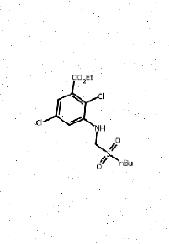 CCCCS(=O)(=O)CNc1cc(Cl)cc(C(=O)OCC)c1Cl